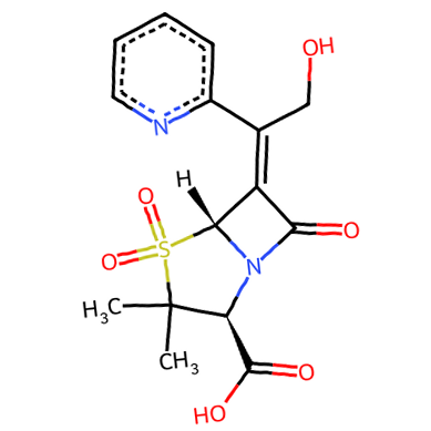 CC1(C)[C@H](C(=O)O)N2C(=O)/C(=C(\CO)c3ccccn3)[C@H]2S1(=O)=O